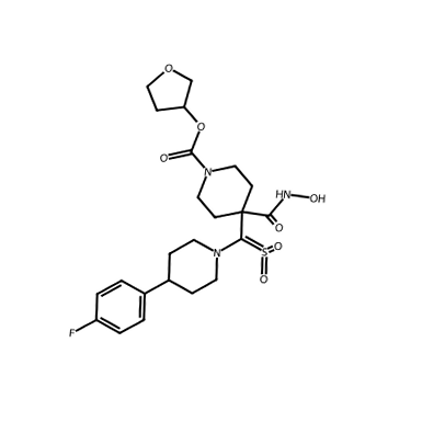 O=C(OC1CCOC1)N1CCC(C(=O)NO)(C(N2CCC(c3ccc(F)cc3)CC2)=S(=O)=O)CC1